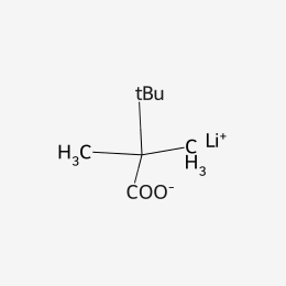 CC(C)(C)C(C)(C)C(=O)[O-].[Li+]